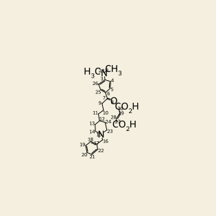 CN(C)c1ccc(C(=O)CCCC2CCN(Cc3ccccc3)CC2)cc1.O=C(O)C=CC(=O)O